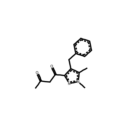 CC(=O)CC(=O)c1nn(C)c(C)c1Cc1ccccc1